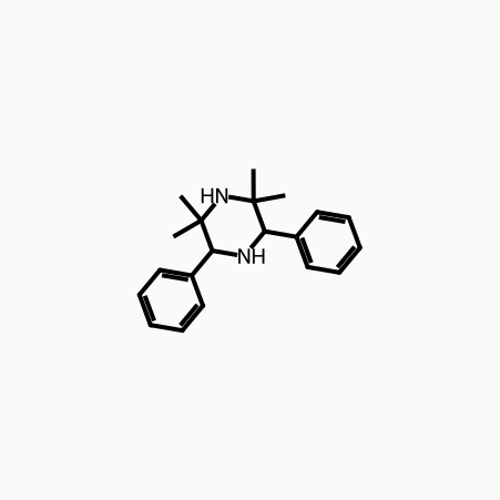 CC1(C)NC(C)(C)C(c2ccccc2)NC1c1ccccc1